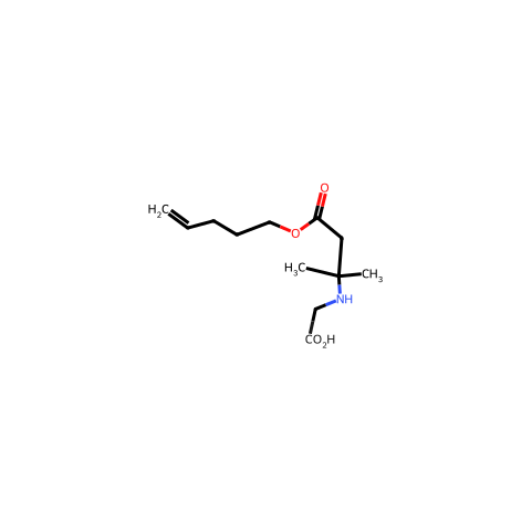 C=CCCCOC(=O)CC(C)(C)NCC(=O)O